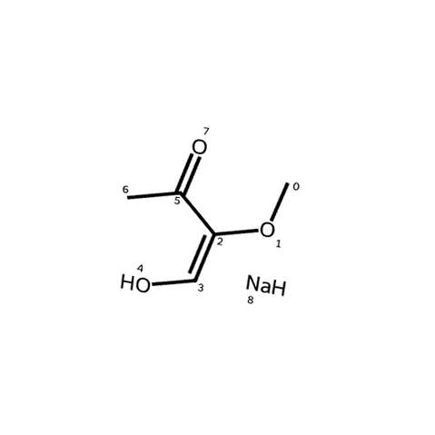 COC(=CO)C(C)=O.[NaH]